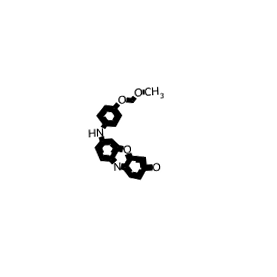 COCOc1ccc(Nc2ccc3nc4ccc(=O)cc-4oc3c2)cc1